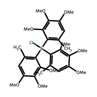 COc1cc(C)c([Si](Cl)(c2c(C)cc(OC)c(OC)c2OC)c2c(C)cc(OC)c(OC)c2OC)c(OC)c1OC